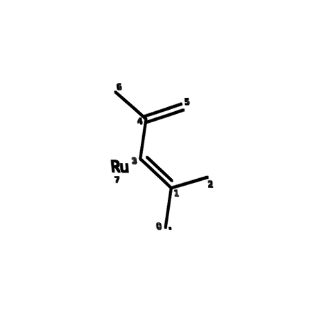 [CH2]C(C)=CC(=C)C.[Ru]